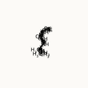 CC(C)(C)OC(=O)N1CC(CCCNc2cccc(SNC(=O)c3ccc(N4C=CC(OCC(=O)CC5(C(F)(F)F)CC5)N4)nc3Cl)n2)CC1(C)C